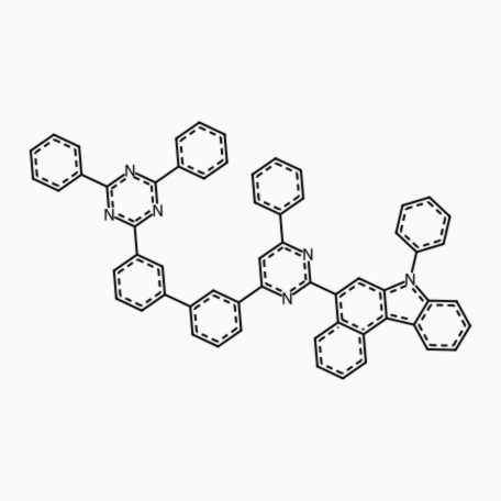 c1ccc(-c2cc(-c3cccc(-c4cccc(-c5nc(-c6ccccc6)nc(-c6ccccc6)n5)c4)c3)nc(-c3cc4c(c5ccccc35)c3ccccc3n4-c3ccccc3)n2)cc1